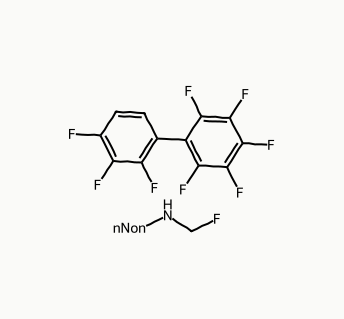 CCCCCCCCCNCF.Fc1ccc(-c2c(F)c(F)c(F)c(F)c2F)c(F)c1F